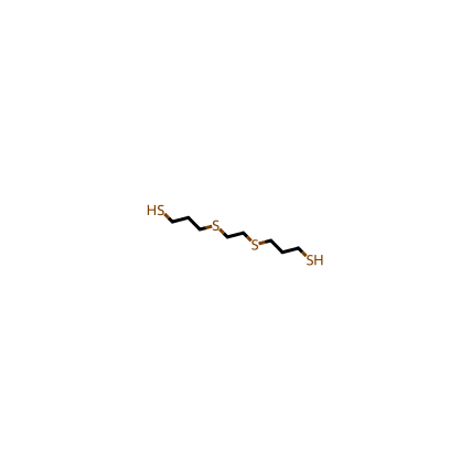 SCCCSCCSCCCS